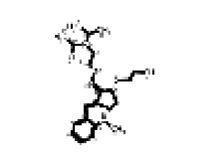 CCCC[C@@H]1CCC(=C\c2ccccc2OC)/C1=N/OCCN(C(C)C)C(C)C